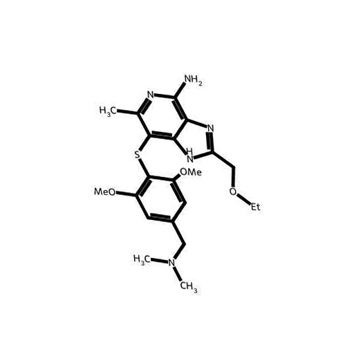 CCOCc1nc2c(N)nc(C)c(Sc3c(OC)cc(CN(C)C)cc3OC)c2[nH]1